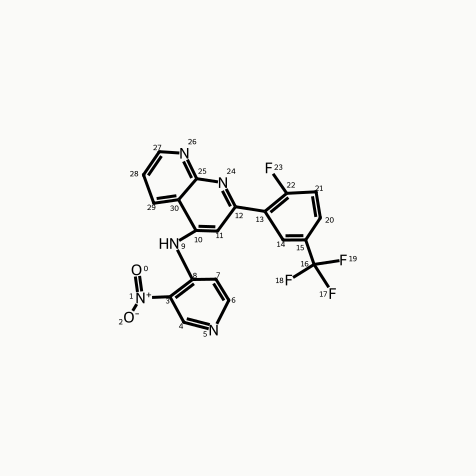 O=[N+]([O-])c1cnccc1Nc1cc(-c2cc(C(F)(F)F)ccc2F)nc2ncccc12